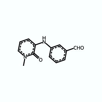 Cn1cccc(Nc2cccc(C=O)c2)c1=O